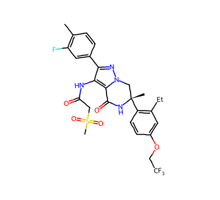 CCc1cc(OCC(F)(F)F)ccc1[C@@]1(C)Cn2nc(-c3ccc(C)c(F)c3)c(NC(=O)CS(C)(=O)=O)c2C(=O)N1